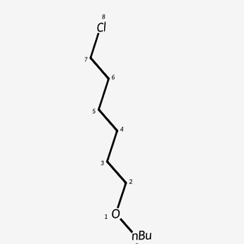 CCCCOCCCCCCCl